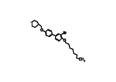 CCCCCCCCOc1ccc(-c2ccc(OCC3CC[CH]CC3)cc2)cc1Br